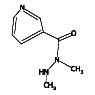 CNN(C)C(=O)c1cccnc1